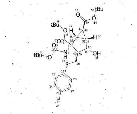 CC(C)(C)OC(=O)N[C@]1(C(=O)OC(C)(C)C)[C@@H]2[C@@H](C(=O)OC(C)(C)C)[C@@H]2[C@H](O)[C@H]1CSc1ccc(F)cc1